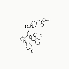 CCOC(=O)CC1CCN(C(=O)CCC2OC(c3cccc(F)c3OC)c3cc(Cl)ccc3-n3cccc32)CC1